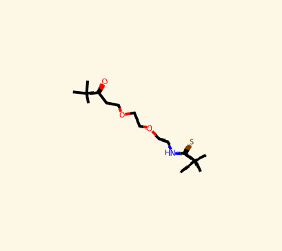 CC(C)(C)C(=O)CCOCCOCCNC(=S)C(C)(C)C